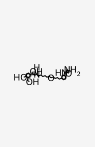 NC(=O)Nc1cccc(CCCCOCCCCCCNC[C@H](O)c2ccc(O)c(CO)c2)c1